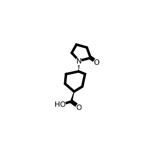 O=C1CCCN1[C@H]1CC[C@H](C(=O)O)CC1